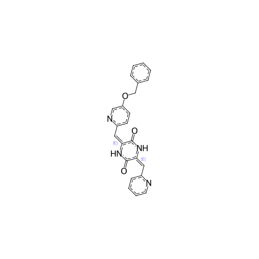 O=c1[nH]/c(=C/c2ccc(OCc3ccccc3)cn2)c(=O)[nH]/c1=C/c1ccccn1